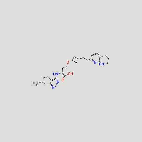 Cc1ccc2c(N[C@@H](CCO[C@H]3C[C@H](CCc4ccc5c(n4)NCCC5)C3)C(=O)O)ncnc2c1